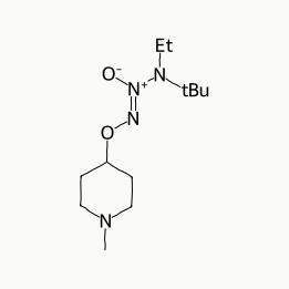 CCN(/[N+]([O-])=N/OC1CCN(C)CC1)C(C)(C)C